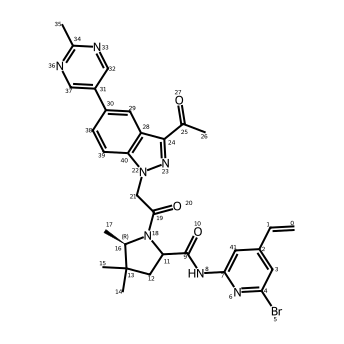 C=Cc1cc(Br)nc(NC(=O)C2CC(C)(C)[C@@H](C)N2C(=O)Cn2nc(C(C)=O)c3cc(-c4cnc(C)nc4)ccc32)c1